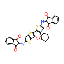 O=c1c(=Nc2cc3c(s2)-c2sc4cc(N=c5c(=O)c6ccccc6c5=O)sc4c2OC32CCCCC2)c(=O)c2ccccc12